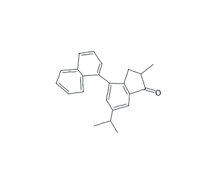 CC1Cc2c(cc(C(C)C)cc2-c2cccc3ccccc23)C1=O